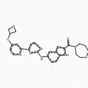 O=C(c1cc2cc(Nc3nccc(-c4cc(OC5COC5)ccn4)n3)ccc2[nH]1)N1CCCOCC1